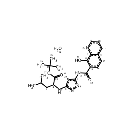 CC(C)CC(Nc1nnc(NC(=O)c2ccc3cccnc3c2O)s1)C(=O)OC(C)(C)C.O